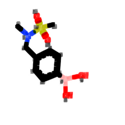 CN(Cc1ccc(B(O)O)cc1)S(C)(=O)=O